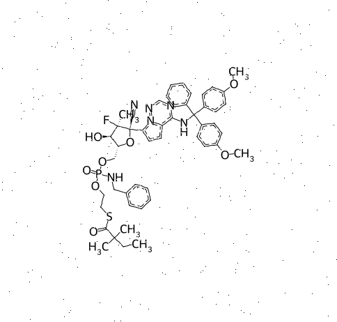 CCC(C)(C)C(=O)SCCOP(=O)(NCc1ccccc1)OC[C@H]1O[C@@](C#N)(c2ccc3c(NC(c4ccccc4)(c4ccc(OC)cc4)c4ccc(OC)cc4)ncnn23)[C@](C)(F)[C@@H]1O